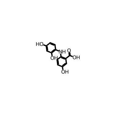 O=C(O)c1cc(O)ccc1Nc1ccc(O)cc1O